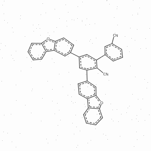 N#Cc1cccc(-c2cc(-c3ccc4oc5ccccc5c4c3)cc(-c3ccc4c(c3)oc3ccccc34)c2C#N)c1